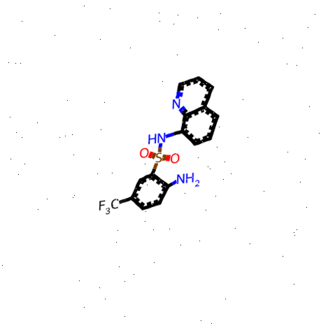 Nc1ccc(C(F)(F)F)cc1S(=O)(=O)Nc1cccc2cccnc12